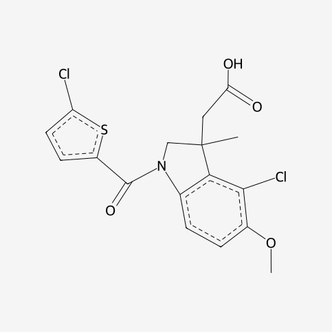 COc1ccc2c(c1Cl)C(C)(CC(=O)O)CN2C(=O)c1ccc(Cl)s1